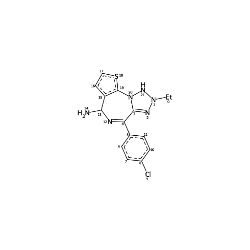 CCN1N=C2C(c3ccc(Cl)cc3)=NC(N)c3ccsc3N2N1